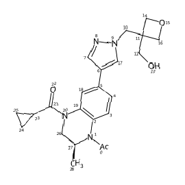 CC(=O)N1c2ccc(-c3cnn(CC4(CO)COC4)c3)cc2N(C(=O)C2CC2)C[C@@H]1C